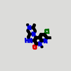 Cc1nc2c(cc1Cl)c1c(c(=O)n2C)NCC2CN(C)C(C)CN12